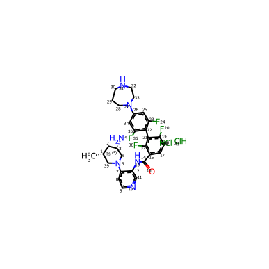 C[C@@H]1C[C@H](N)CN(c2ccncc2NC(=O)c2ccc(F)c(-c3c(F)cc(N4CCCNCC4)cc3F)c2F)C1.Cl.Cl